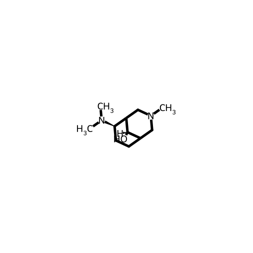 CN1CC2CC[C@@H](N(C)C)C(C1)[C@@H]2O